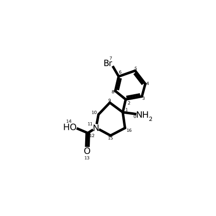 NC1(c2cccc(Br)c2)CCN(C(=O)O)CC1